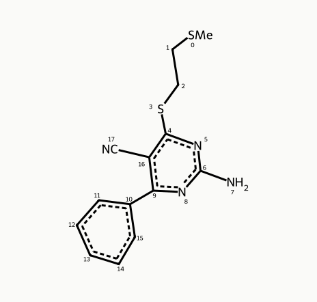 CSCCSc1nc(N)nc(-c2ccccc2)c1C#N